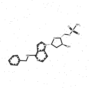 NS(=O)(=O)OC[C@H]1O[C@@H](n2ccc3c(NCc4ccccc4)nccc32)C[C@@H]1O